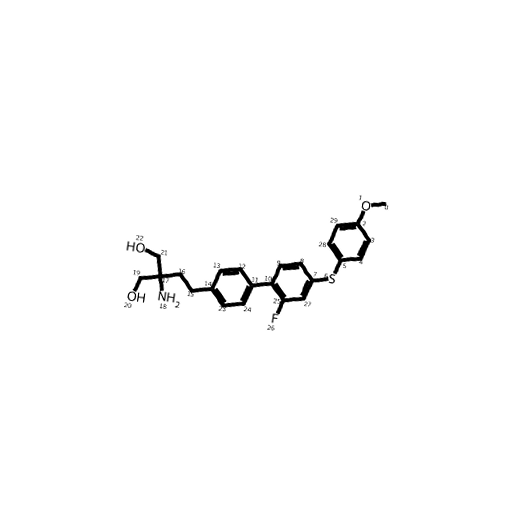 COc1ccc(Sc2ccc(-c3ccc(CCC(N)(CO)CO)cc3)c(F)c2)cc1